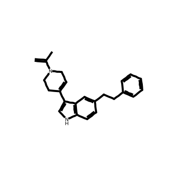 C=C(C)N1CC=C(c2c[nH]c3ccc(CCc4ccccc4)cc23)CC1